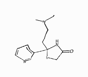 CN(C)CCC1(c2cccnc2)NC(=O)CS1